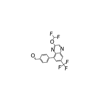 O=Cc1ccc(-c2cc(C(F)(F)F)cc3ncc(OC(F)F)nc23)cc1